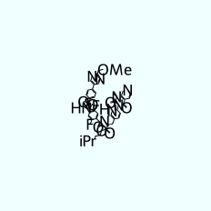 COCc1ncc(-c2ccc(S(=O)(=O)Nc3cc(F)c(C(=O)N[C@@H](Cc4ccc(-n5c(=O)c6ccncc6n(C)c5=O)nc4)C(=O)OCCC(C)C)cc3F)cc2)cn1